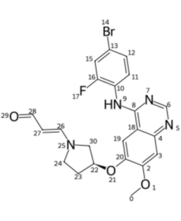 COc1cc2ncnc(Nc3ccc(Br)cc3F)c2cc1O[C@H]1CCN(C=CC=O)C1